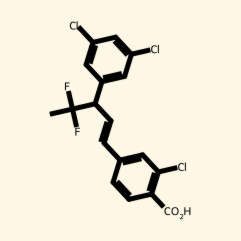 CC(F)(F)C(C=Cc1ccc(C(=O)O)c(Cl)c1)c1cc(Cl)cc(Cl)c1